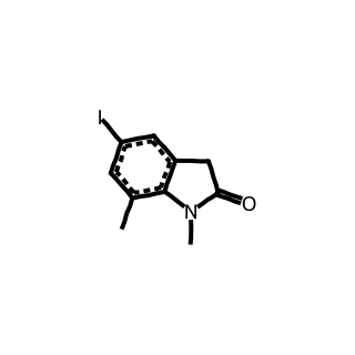 Cc1cc(I)cc2c1N(C)C(=O)C2